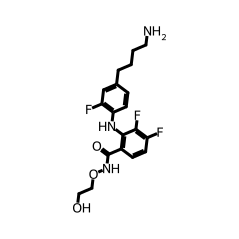 NCCCCc1ccc(Nc2c(C(=O)NOCCO)ccc(F)c2F)c(F)c1